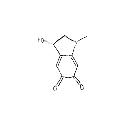 CN1C[C@@H](O)C2=CC(=O)C(=O)C=C21